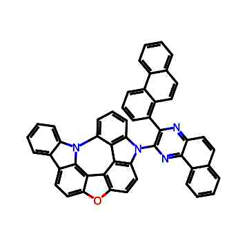 c1ccc2c(c1)ccc1c(-c3nc4ccc5ccccc5c4nc3-n3c4ccc5oc6ccc7c8ccccc8n8c9cccc3c9c4c5c6c78)cccc12